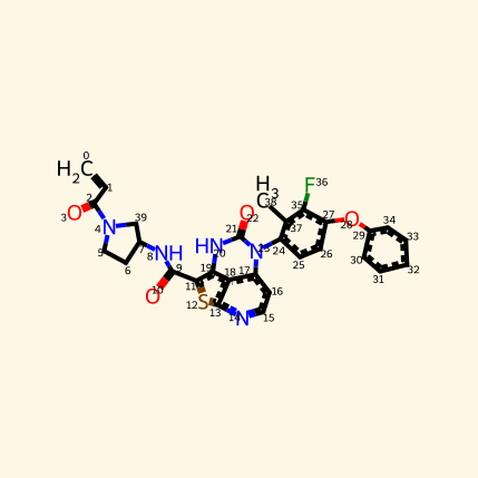 C=CC(=O)N1CCC(NC(=O)c2sc3nccc4c3c2NC(=O)N4c2ccc(Oc3ccccc3)c(F)c2C)C1